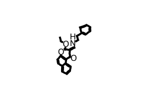 CCOC(=O)C(=CNCCc1ccccc1)C(=O)c1cccc2ccccc12